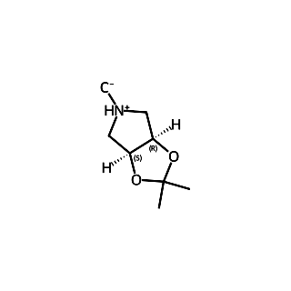 [CH2-][NH+]1C[C@@H]2OC(C)(C)O[C@@H]2C1